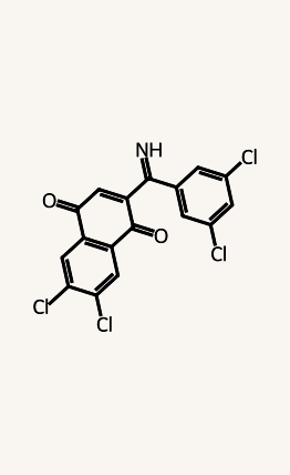 N=C(C1=CC(=O)c2cc(Cl)c(Cl)cc2C1=O)c1cc(Cl)cc(Cl)c1